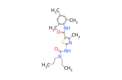 CCCN(CCC)C(=O)Nc1nc(C)c(C(=O)Nc2c(C)cc(C)cc2C)s1